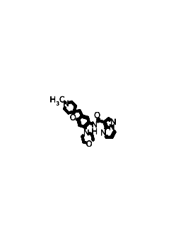 CN1CCC2(CC1)Cc1cc(NC(=O)c3cnn4cccnc34)c(N3CCOCC3)cc1O2